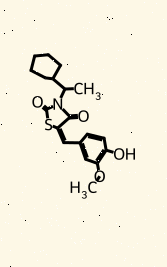 COc1cc(C=C2SC(=O)N(C(C)C3CCCCC3)C2=O)ccc1O